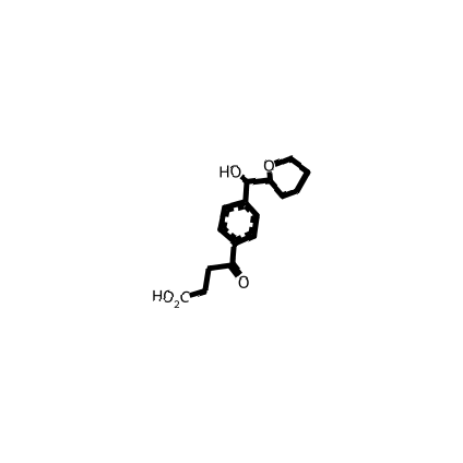 O=C(O)CCC(=O)c1ccc(C(O)C2CCCCO2)cc1